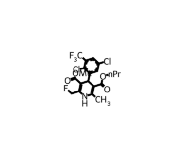 CCCOC(=O)C1=C(C)NC(CF)=C(C(=O)OC)C1c1cc(Cl)cc(C(F)(F)F)c1Cl